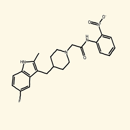 Cc1[nH]c2ccc(F)cc2c1CC1CCN(CC(=O)Nc2ccccc2[N+](=O)[O-])CC1